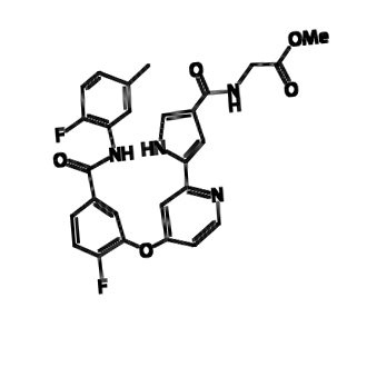 COC(=O)CNC(=O)c1c[nH]c(-c2cc(Oc3cc(C(=O)Nc4cc(C)ccc4F)ccc3F)ccn2)c1